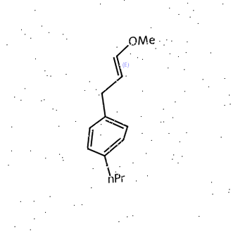 CCCc1ccc(C/C=C/OC)cc1